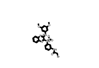 COc1cc(Nc2nc3ccccc3nc2N(c2cccc(NC(=O)CBr)c2)[SH](=O)=O)cc(OC)c1